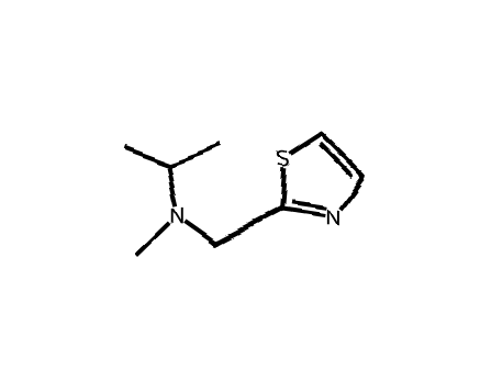 CC(C)N(C)Cc1nccs1